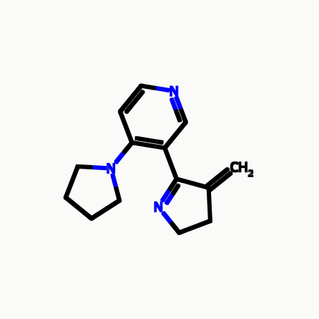 C=C1CCN=C1c1cnccc1N1CCCC1